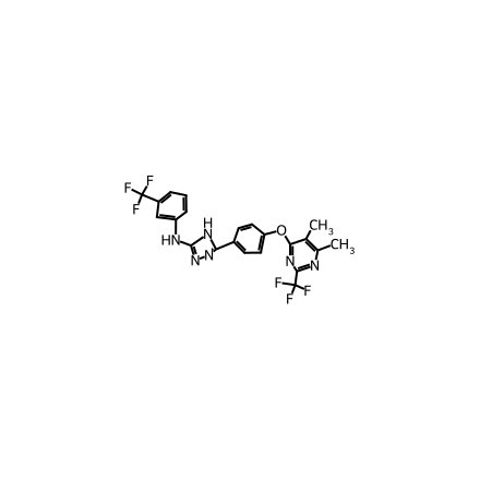 Cc1nc(C(F)(F)F)nc(Oc2ccc(-c3nnc(Nc4cccc(C(F)(F)F)c4)[nH]3)cc2)c1C